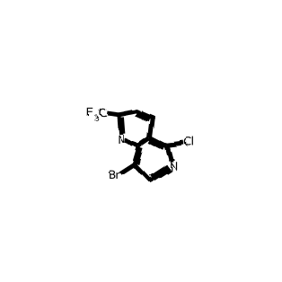 FC(F)(F)c1ccc2c(Cl)ncc(Br)c2n1